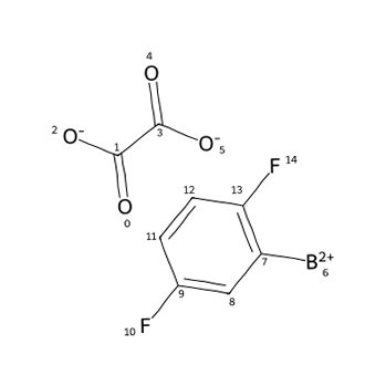 O=C([O-])C(=O)[O-].[B+2]c1cc(F)ccc1F